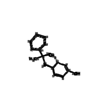 CC(C)(SC1C=CC(O)=CC1)c1ccccc1